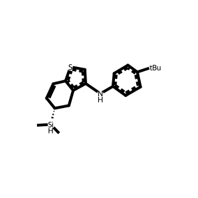 C[SiH](C)[C@@H]1C=Cc2scc(Nc3ccc(C(C)(C)C)cc3)c2C1